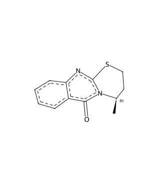 C[C@@H]1CCSc2nc3ccccc3c(=O)n21